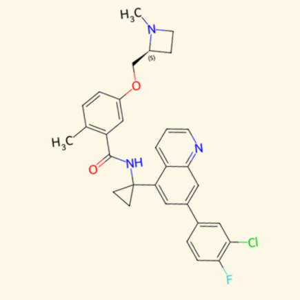 Cc1ccc(OC[C@@H]2CCN2C)cc1C(=O)NC1(c2cc(-c3ccc(F)c(Cl)c3)cc3ncccc23)CC1